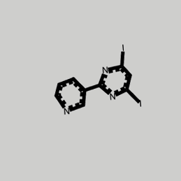 Ic1cc(I)nc(-c2cccnc2)n1